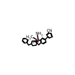 CN1C(=O)C2(N=C1N)c1cc(-c3cccc(C#N)c3)ccc1CC21CCC(Cc2ccccc2)CC1